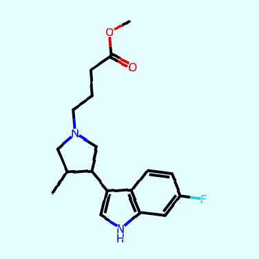 COC(=O)CCCN1CC(C)C(c2c[nH]c3cc(F)ccc23)C1